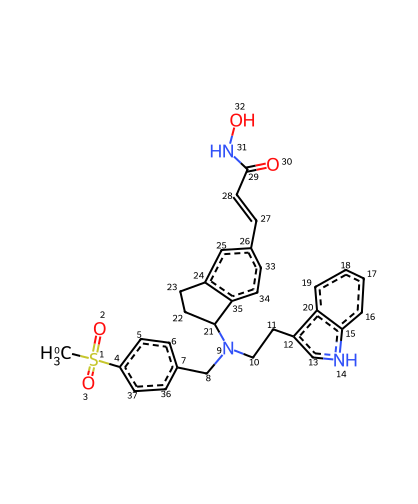 CS(=O)(=O)c1ccc(CN(CCc2c[nH]c3ccccc23)C2CCc3cc(/C=C/C(=O)NO)ccc32)cc1